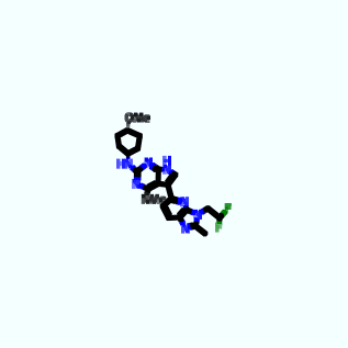 CNc1nc(N[C@H]2CC[C@@H](OC)CC2)nc2[nH]cc(-c3ccc4nc(C)n(CC(F)F)c4n3)c12